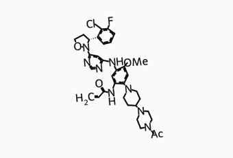 C=CC(=O)Nc1cc(Nc2cc(N3OCC[C@@H]3c3cccc(F)c3Cl)ncn2)c(OC)cc1N1CCC(N2CCN(C(C)=O)CC2)CC1